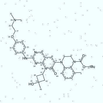 Cc1cccc2c1N(C(=O)OC(C)(C)C)CCN2c1cc2cnc(Nc3ccc(OCCN(C)C)cc3)nc2n(C2CC(C)(O)C2)c1=O